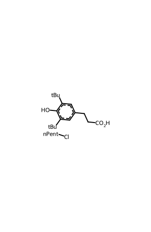 CC(C)(C)c1cc(CCC(=O)O)cc(C(C)(C)C)c1O.CCCCCCl